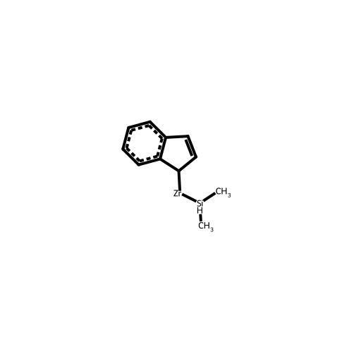 C[SiH](C)[Zr][CH]1C=Cc2ccccc21